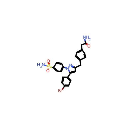 NC(=O)Cc1ccc(Cc2cc(-c3ccc(Br)cc3)n(-c3ccc(S(N)(=O)=O)cc3)n2)cc1